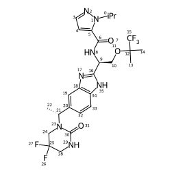 CC(C)n1nccc1C(=O)N[C@@H](COC(C)(C)C(F)(F)F)c1nc2cc([C@@H](C)N3CC(F)(F)CNC3=O)ccc2[nH]1